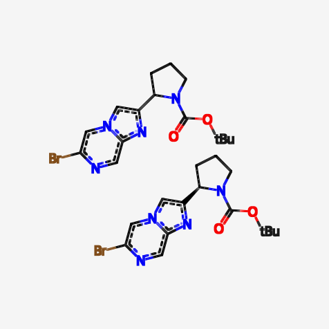 CC(C)(C)OC(=O)N1CCCC1c1cn2cc(Br)ncc2n1.CC(C)(C)OC(=O)N1CCC[C@@H]1c1cn2cc(Br)ncc2n1